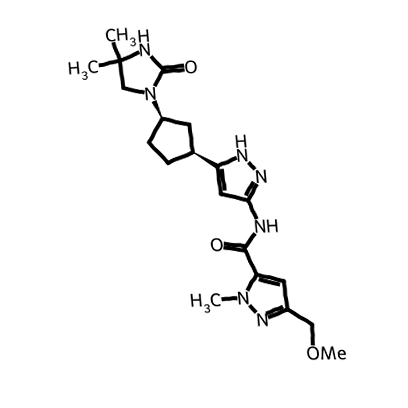 COCc1cc(C(=O)Nc2cc([C@H]3CC[C@@H](N4CC(C)(C)NC4=O)C3)[nH]n2)n(C)n1